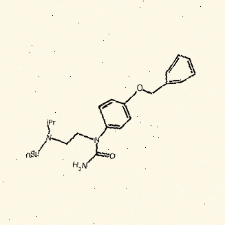 CCCCN(CCN(C(N)=O)c1ccc(OCc2ccccc2)cc1)C(C)C